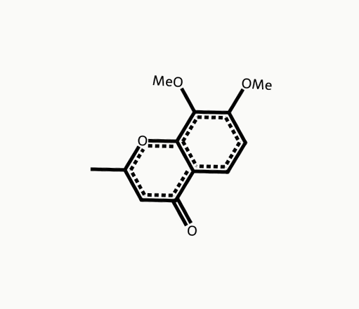 COc1ccc2c(=O)cc(C)oc2c1OC